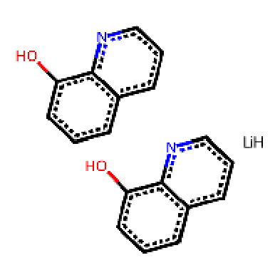 Oc1cccc2cccnc12.Oc1cccc2cccnc12.[LiH]